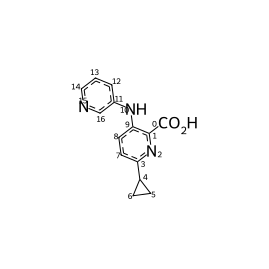 O=C(O)c1nc(C2CC2)ccc1Nc1cccnc1